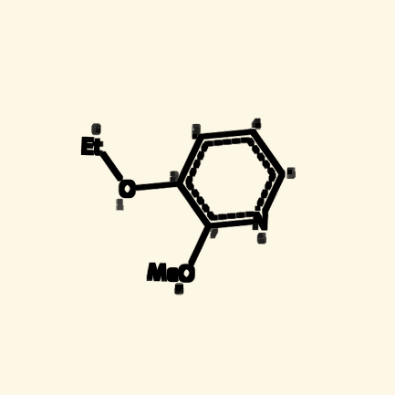 CCOc1[c]ccnc1OC